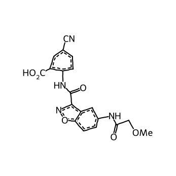 COCC(=O)Nc1ccc2onc(C(=O)Nc3ccc(C#N)cc3C(=O)O)c2c1